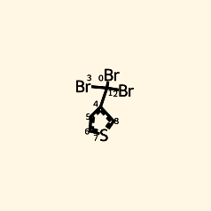 BrC(Br)(Br)c1ccsc1